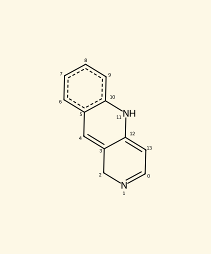 C1=NCC2=Cc3ccccc3NC2=C1